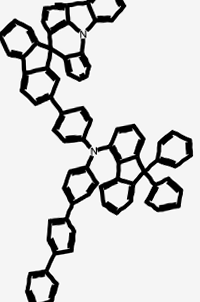 c1ccc(-c2ccc(-c3ccc(N(c4ccc(-c5ccc6c(c5)C5(c7ccccc7-6)c6ccccc6-n6c7ccccc7c7cccc5c76)cc4)c4cccc5c4-c4ccccc4C5(c4ccccc4)c4ccccc4)cc3)cc2)cc1